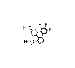 CC1CCC(c2c(C(=O)O)cccc2-c2cc(F)c(F)c(F)c2)CC1